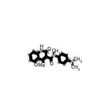 COc1c(C(=O)N(C)c2ccc(N(C)C)cc2)c(=O)[nH]c2ccccc12